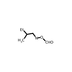 CCC(C)C[N]O[C]=O